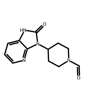 O=CN1CCC(n2c(=O)[nH]c3cccnc32)CC1